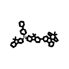 CC1(C)c2ccccc2-c2ccc(N(c3ccc(-c4ccccc4)cc3)c3ccc4c(c3)C(C)(C)c3cc(-c5ccc6c(c5)-c5ccccc5C65c6ccccc6C(C)(C)c6ccccc65)ccc3-4)cc21